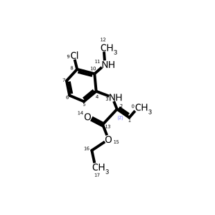 C/C=C(\Nc1cccc(Cl)c1NC)C(=O)OCC